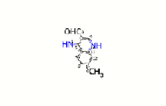 Cc1ccc2c(=N)c(C=O)c[nH]c2c1